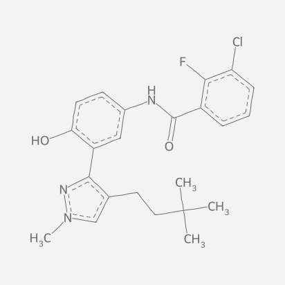 Cn1cc(CCC(C)(C)C)c(-c2cc(NC(=O)c3cccc(Cl)c3F)ccc2O)n1